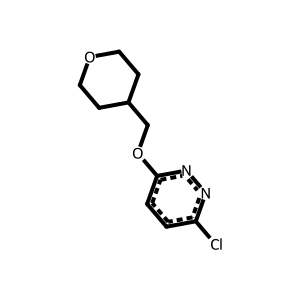 Clc1ccc(OCC2CCOCC2)nn1